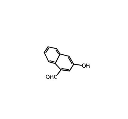 O=[C]c1cc(O)cc2ccccc12